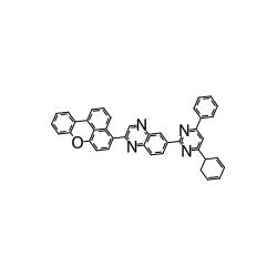 C1=CCC(c2cc(-c3ccccc3)nc(-c3ccc4nc(-c5ccc6c7c(cccc57)-c5ccccc5O6)cnc4c3)n2)C=C1